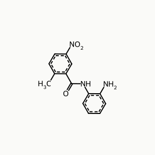 Cc1ccc([N+](=O)[O-])cc1C(=O)Nc1ccccc1N